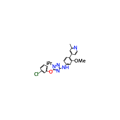 COc1cc(Nc2nc(Oc3cccc(Cl)c3)n(C(C)C)n2)ccc1-c1ccnc(C)c1